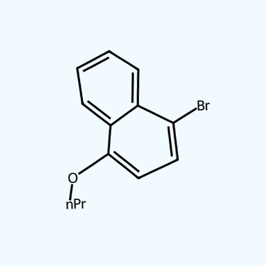 CCCOc1ccc(Br)c2ccccc12